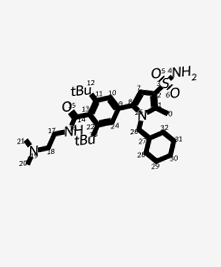 Cc1c(S(N)(=O)=O)cc(-c2cc(C(C)(C)C)c(C(=O)NCCN(C)C)c(C(C)(C)C)c2)n1CC1CCCCC1